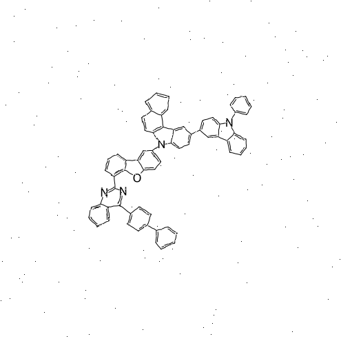 c1ccc(-c2ccc(-c3nc(-c4cccc5c4oc4ccc(-n6c7ccc(-c8ccc9c(c8)c8ccccc8n9-c8ccccc8)cc7c7c8ccccc8ccc76)cc45)nc4ccccc34)cc2)cc1